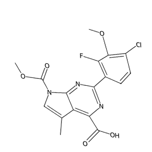 COC(=O)n1cc(C)c2c(C(=O)O)nc(-c3ccc(Cl)c(OC)c3F)nc21